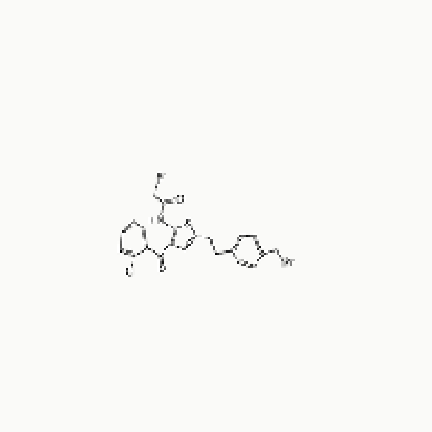 CC(C)Cc1ccc(CCc2cc(C(=O)c3ccccc3Cl)c(NC(=O)CBr)s2)cc1